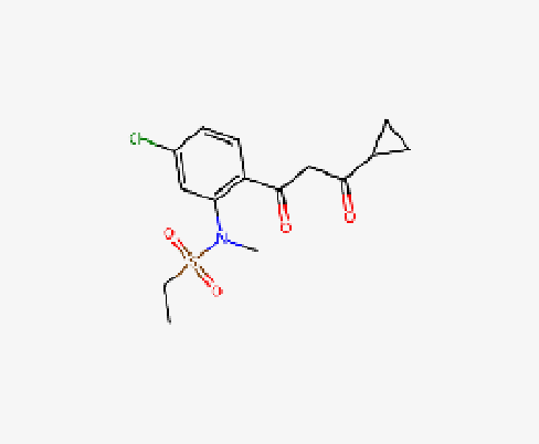 CCS(=O)(=O)N(C)c1cc(Cl)ccc1C(=O)CC(=O)C1CC1